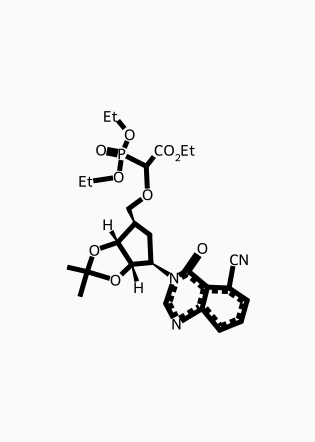 CCOC(=O)C(OC[C@H]1C[C@@H](n2cnc3cccc(C#N)c3c2=O)[C@@H]2OC(C)(C)O[C@H]12)P(=O)(OCC)OCC